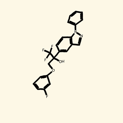 OC(COc1cccc(F)c1)(c1ccc2c(cnn2-c2ccccc2)c1)C(F)(F)F